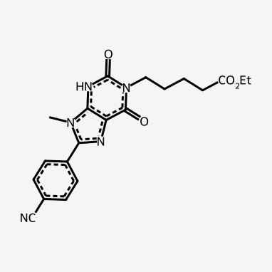 CCOC(=O)CCCCn1c(=O)[nH]c2c(nc(-c3ccc(C#N)cc3)n2C)c1=O